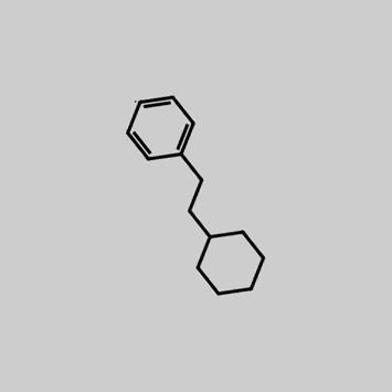 [c]1ccc(CCC2CCCCC2)cc1